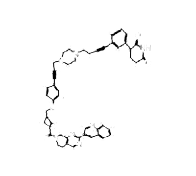 O=C1CCC(c2cccc(C#CCCN3CCN(CC#Cc4ccc(OCC56CC(C(=O)N7CCc8cnc(-c9cnc%10ccccc%10c9)nc8C7)(C5)C6)cc4)CC3)c2)C(=O)N1